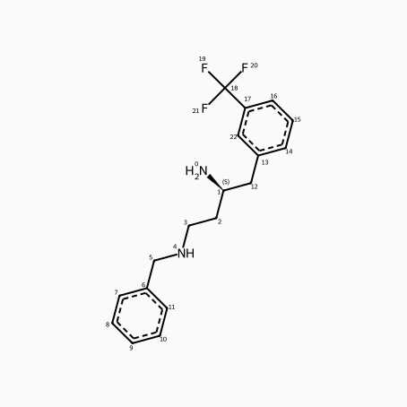 N[C@H](CCNCc1ccccc1)Cc1cccc(C(F)(F)F)c1